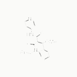 COc1c(C(=O)Nc2ccncc2)c(=O)n(CC(C)C)c2ccccc12